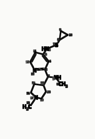 CNC(c1cc(NSC2CC2)ccn1)C1CCN(C)CC1